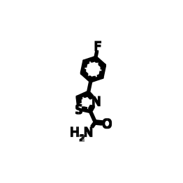 NC(=O)c1nc(-c2ccc(F)cc2)cs1